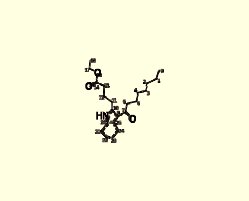 CCCCCCCC(=O)c1c(CCCC(=O)OCC)[nH]c2ccccc12